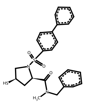 CN(Cc1ccccc1)C(=O)[C@H]1C[C@@H](S)CN1S(=O)(=O)c1ccc(-c2ccccc2)cc1